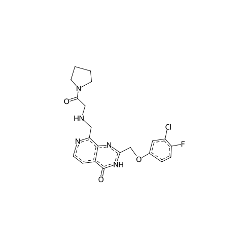 O=C(CNCc1nccc2c(=O)[nH]c(COc3ccc(F)c(Cl)c3)nc12)N1CCCC1